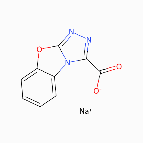 O=C([O-])c1nnc2oc3ccccc3n12.[Na+]